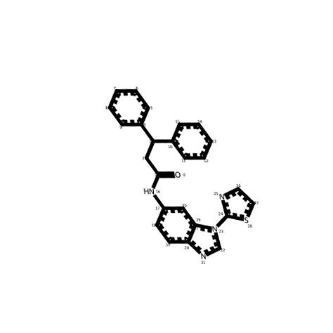 O=C(CC(c1ccccc1)c1ccccc1)Nc1ccc2ncn(-c3nccs3)c2c1